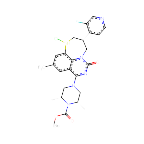 C[C@@H]1CN(c2nc(=O)n3c4c(cc(C(F)(F)F)cc24)[SH](Cl)C[C@H](c2ccncc2F)C3)C[C@H](C)N1C(=O)OC(C)(C)C